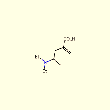 C=C(CC(C)N(CC)CC)C(=O)O